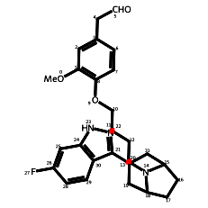 COc1cc(CC=O)ccc1OCCCCN1C2CCC1CC(c1n[nH]c3cc(F)ccc13)C2